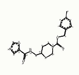 Cc1ccc(COC(=O)N2CCC(CNC(=O)c3cnco3)CC2)cc1